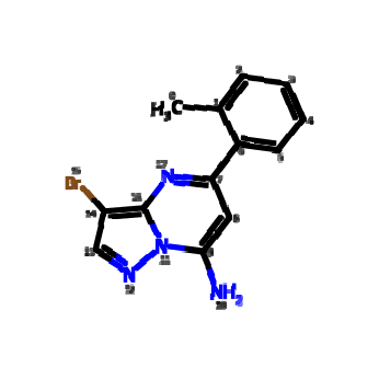 Cc1ccccc1-c1cc(N)n2ncc(Br)c2n1